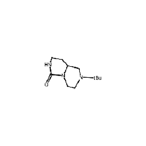 CC(C)(C)N1CCN2C(=O)NCCC2C1